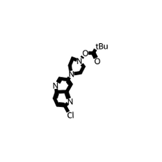 CC(C)(C)C(=O)ON1CCN(c2cnc3ccc(Cl)nc3c2)CC1